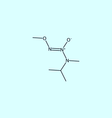 CON=[N+]([O-])N(C)C(C)C